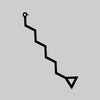 [O]CCCCCCCC1CC1